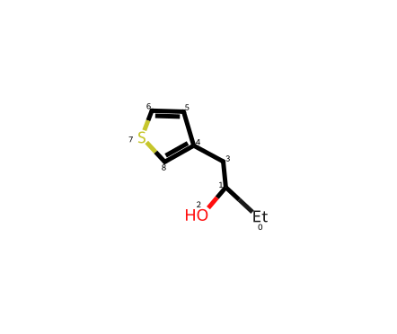 CCC(O)Cc1ccsc1